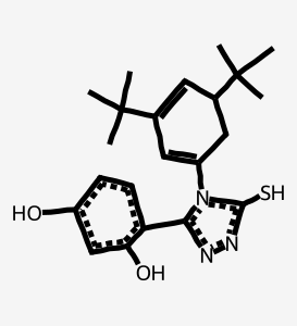 CC(C)(C)C1=CC(C(C)(C)C)CC(n2c(S)nnc2-c2ccc(O)cc2O)=C1